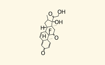 CC1C[C@H]2[C@@H]3C=CC4=CC(=O)C=C[C@]4(C)[C@@]3(F)C(=O)C[C@]2(C)[C@@]1(O)C(=O)CO